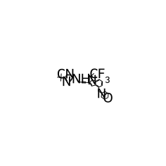 CC(C)(C#N)c1ccc(NCC#Cc2cc3c(CN4CCOCC4)cccc3n2CC(F)(F)F)cn1